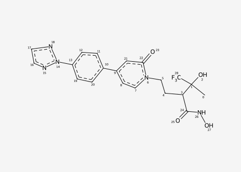 CC(O)(C(CCn1ccc(-c2ccc(-n3nccn3)cc2)cc1=O)C(=O)NO)C(F)(F)F